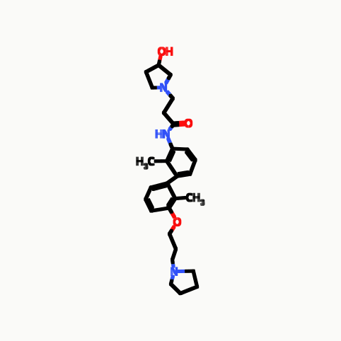 Cc1c(NC(=O)CCN2CCC(O)C2)cccc1-c1cccc(OCCCN2CCCC2)c1C